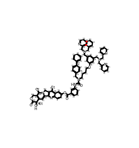 CCc1c2c(nc3ccc(OC(=O)c4cccc(NC(=O)N(CCCCOc5cc(CN(Cc6ccccn6)Cc6ccccn6)cc(CN(Cc6ccccn6)Cc6ccccn6)c5)Cc5ccc(-c6ccccc6)cc5)c4)cc13)-c1cc3c(c(=O)n1C2)COC(=O)[C@@]3(O)CC